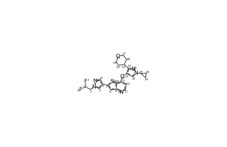 FC(F)Cn1cc(-c2cc3nccc(Oc4cn(C5CC5)nc4C4CCOCC4)c3s2)cn1